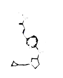 Cl.Cl.O=C(/C=C/c1ccc(NC2CCN(CC3CC3)C2)nc1)NO